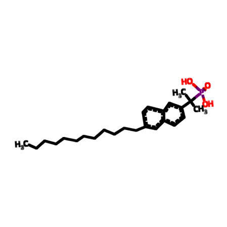 CCCCCCCCCCCCc1ccc2cc(C(C)(C)P(=O)(O)O)ccc2c1